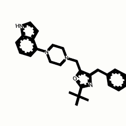 CC(C)(C)c1nc(Cc2ccccc2)c(CN2CCN(c3cccc4[nH]ccc34)CC2)o1